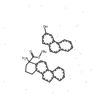 CCCCOC(=O)C1(N)CCCc2c1ccc1c2ccc2ccccc21.Oc1ccc2ccc3ccccc3c2c1